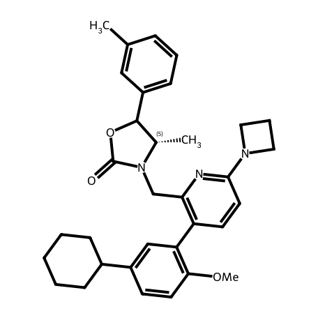 COc1ccc(C2CCCCC2)cc1-c1ccc(N2CCC2)nc1CN1C(=O)OC(c2cccc(C)c2)[C@@H]1C